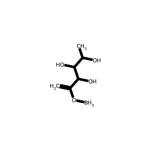 BOC(=C)C(O)C(O)C(C)O